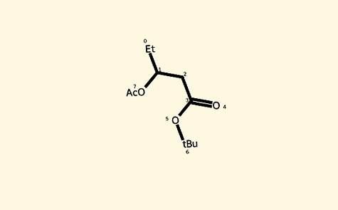 CCC(CC(=O)OC(C)(C)C)OC(C)=O